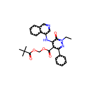 CCn1nc(-c2ccccc2)c(C(=O)OCOC(=O)C(C)(C)C)c(Nc2cncc3ccccc23)c1=O